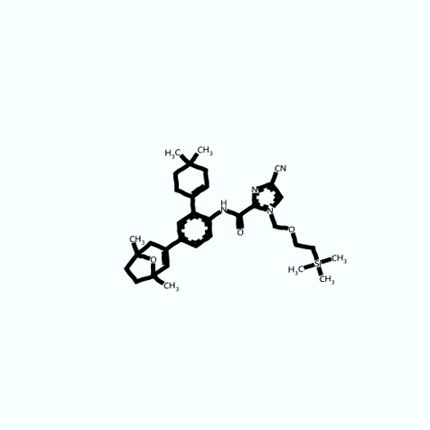 CC1(C)CC=C(c2cc(C3=CC4(C)CCC(C)(C3)O4)ccc2NC(=O)c2nc(C#N)cn2COCC[Si](C)(C)C)CC1